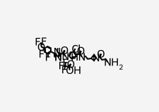 Cn1c(-c2ccc(OC(F)F)c(F)c2F)cnc1C(=O)Nc1ccc(C(=O)NCCC2CN(C(=O)CCN)C2)c(Cl)c1.O=C(O)C(F)(F)F